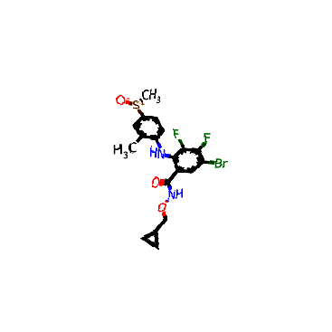 Cc1cc([S+](C)[O-])ccc1Nc1c(C(=O)NOCC2CC2)cc(Br)c(F)c1F